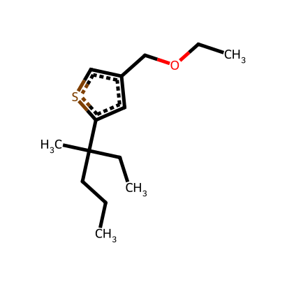 CCCC(C)(CC)c1cc(COCC)cs1